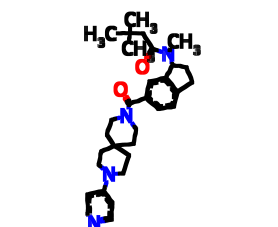 CN(C(=O)CC(C)(C)C)C1CCc2ccc(C(=O)N3CCC4(CC3)CCN(c3ccncc3)CC4)cc21